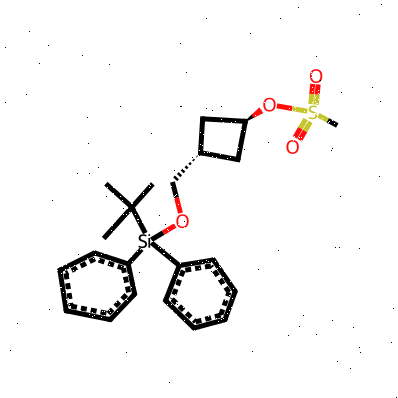 CC(C)(C)[Si](OC[C@H]1C[C@H](OS(C)(=O)=O)C1)(c1ccccc1)c1ccccc1